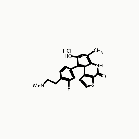 CNCCc1ccc(-c2c(O)cc(C)c3[nH]c(=O)c4sccc4c23)cc1F.Cl